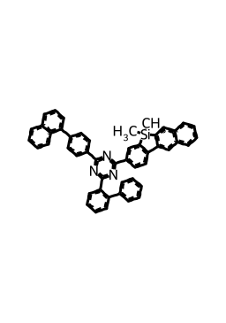 C[Si]1(C)c2cc(-c3nc(-c4ccc(-c5cccc6ccccc56)cc4)nc(-c4ccccc4-c4ccccc4)n3)ccc2-c2cc3ccccc3cc21